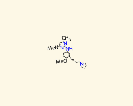 CNc1cc(C)nc(Nc2ccc(OC)c(C#CCCN3CCCC3)c2)n1